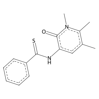 Cc1cc(NC(=S)c2ccccc2)c(=O)n(C)c1C